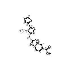 Cn1c(Sc2nc3ccc(C(=O)O)cc3s2)nnc1-c1cccs1